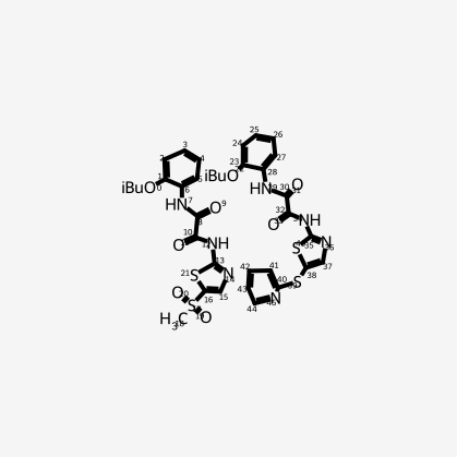 CC(C)COc1ccccc1NC(=O)C(=O)Nc1ncc(S(C)(=O)=O)s1.CC(C)COc1ccccc1NC(=O)C(=O)Nc1ncc(Sc2ccccn2)s1